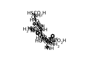 CC(C)C[C@H](NC(=O)CNC(=O)[C@H](Cc1ccc(O)cc1)NC(=O)[C@H](CO)NC(=O)[C@H](Cc1c[nH]c2ccccc12)NC(=O)[C@H](Cc1c[nH]cn1)NC(=O)[C@@H](N)CCC(=O)O)C(=O)N[C@@H](CCCNC(=N)N)C(=O)N1CCC[C@H]1C(=O)NCC(=O)N[C@@H](CS)C(=O)O